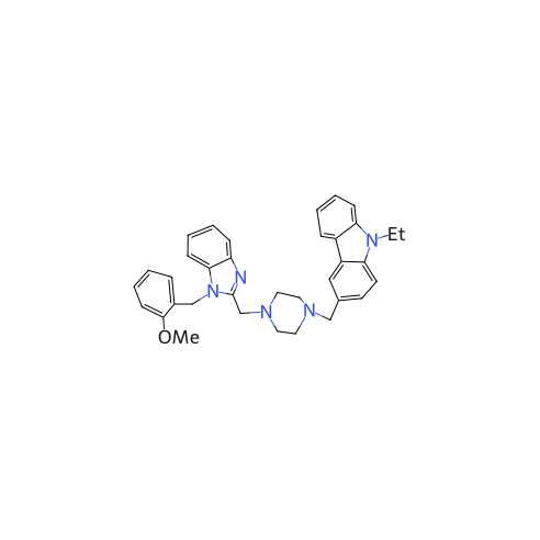 CCn1c2ccccc2c2cc(CN3CCN(Cc4nc5ccccc5n4Cc4ccccc4OC)CC3)ccc21